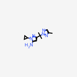 Cc1cnn(C(C)(C)c2cc(N)n(C3CC3)n2)n1